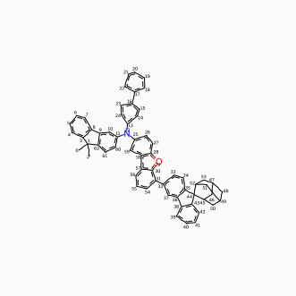 CC1(C)c2ccccc2-c2cc(N(c3ccc(-c4ccccc4)cc3)c3ccc4oc5c(-c6ccc7c(c6)-c6ccccc6C76C7CC8CC(C7)CC6C8)cccc5c4c3)ccc21